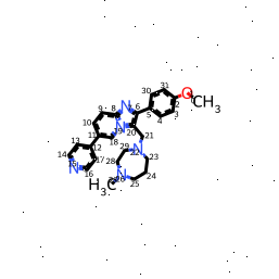 COc1ccc(-c2nc3ccc(-c4ccncc4)cn3c2CN2CCCN(C)CC2)cc1